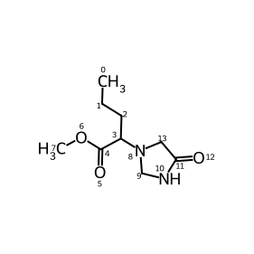 CCCC(C(=O)OC)N1CNC(=O)C1